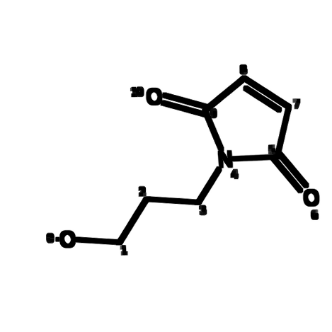 [O]CCCN1C(=O)C=CC1=O